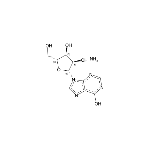 N.OC[C@H]1O[C@@H](n2cnc3c(O)ncnc32)[C@H](O)[C@@H]1O